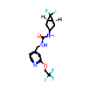 O=C(NCc1ccnc(OCC(F)(F)F)c1)NC1C[C@@H]2[C@H](C1)C2(F)F